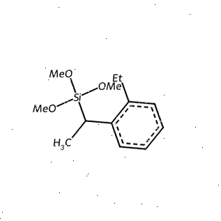 CCc1ccccc1C(C)[Si](OC)(OC)OC